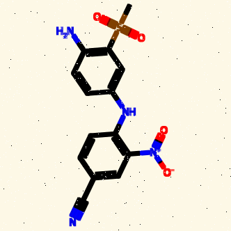 CS(=O)(=O)c1cc(Nc2ccc(C#N)cc2[N+](=O)[O-])ccc1N